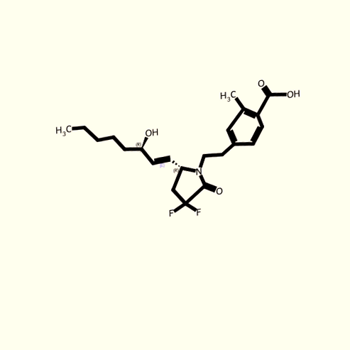 CCCCC[C@@H](O)/C=C/[C@H]1CC(F)(F)C(=O)N1CCc1ccc(C(=O)O)c(C)c1